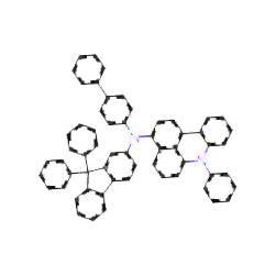 c1ccc(-c2ccc(N(c3ccc4c(c3)C(c3ccccc3)(c3ccccc3)c3ccccc3-4)c3ccc4c5c(cccc35)N(c3ccccc3)c3ccccc3-4)cc2)cc1